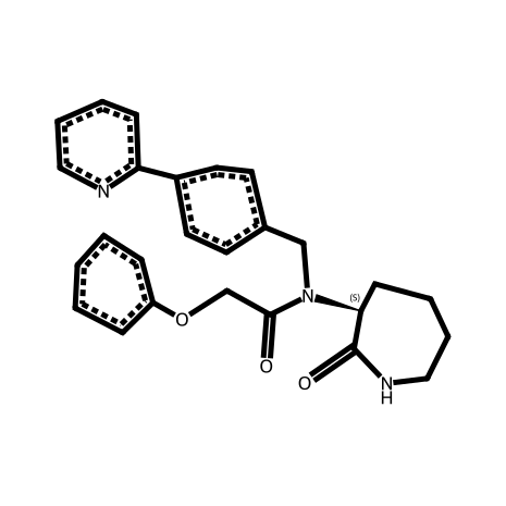 O=C1NCCCC[C@@H]1N(Cc1ccc(-c2ccccn2)cc1)C(=O)COc1ccccc1